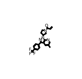 C=CC(=O)N1CCC(n2nc(-c3ccc(C(F)(F)F)cc3)c3cc(C)cnc32)C1